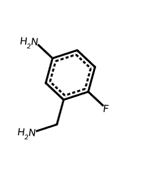 NCc1cc(N)ccc1F